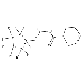 O=C(OC1CCC2(F)C(F)(F)C(F)(F)C(F)(F)C2(F)C1)C1CC=CCC1